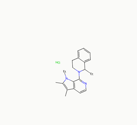 CCC1c2ccccc2CCN1c1nccc2c(C)c(C)n(CC)c12.Cl